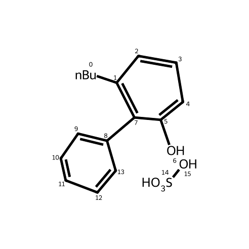 CCCCc1cccc(O)c1-c1ccccc1.O=S(=O)(O)O